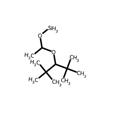 CC(O[SiH3])OC(C(C)(C)C)C(C)(C)C